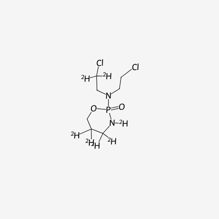 [2H]N1C([2H])([2H])C([2H])([2H])COP1(=O)N(CCCl)CC([2H])([2H])Cl